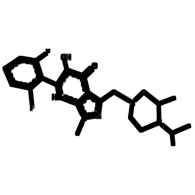 CC(C)N1CCN(Cc2nn(C)c3[nH]c(-c4c(F)cccc4F)c(O)c(=O)c23)CC1C